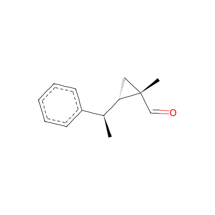 C[C@@H](c1ccccc1)[C@@H]1C[C@]1(C)C=O